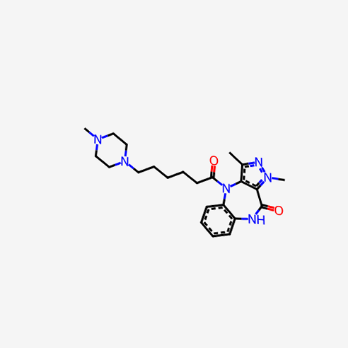 Cc1nn(C)c2c1N(C(=O)CCCCCN1CCN(C)CC1)c1ccccc1NC2=O